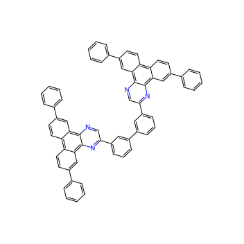 c1ccc(-c2ccc3c4ccc(-c5ccccc5)cc4c4nc(-c5cccc(-c6cccc(-c7cnc8c9cc(-c%10ccccc%10)ccc9c9ccc(-c%10ccccc%10)cc9c8n7)c6)c5)cnc4c3c2)cc1